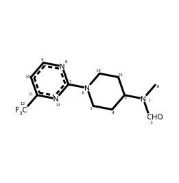 CN(C=O)C1CCN(c2nccc(C(F)(F)F)n2)CC1